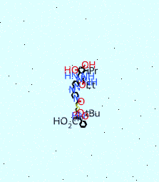 CCNC(=O)C(=N)N(C(=N)c1cc(C(C)C)c(O)cc1O)c1ccc(N(C)C2CCN(C(=O)CSCC(=O)O[C@@H](C(=O)O)[C@@H](NOC(C)(C)C)c3ccccc3)CC2)nc1